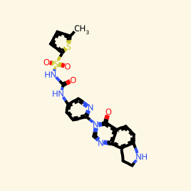 Cc1ccc(S(=O)(=O)NC(=O)Nc2ccc(-n3cnc4c5c(ccc4c3=O)NCC5)nc2)s1